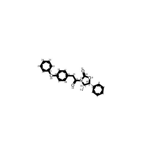 C[C@H]1[C@@H](c2ccccc2)OC(=O)N1C(=O)Cc1ccc(Oc2ccccc2)cc1